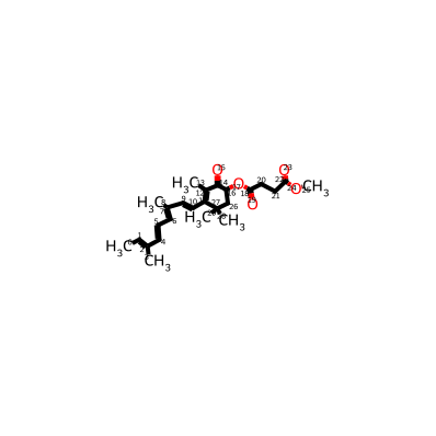 CC=C(C)C=CC=C(C)/C=C/C1=C(C)C(=O)C(OC(=O)CCC(=O)OC)CC1(C)C